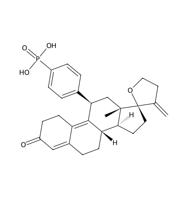 C=C1CCO[C@]12CC[C@H]1[C@@H]3CCC4=CC(=O)CCC4=C3[C@@H](c3ccc(P(=O)(O)O)cc3)C[C@@]12C